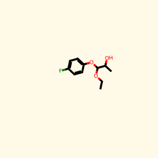 CCOC(Oc1ccc(F)cc1)C(C)O